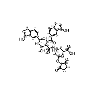 C[C@H](NC(=O)c1ccc2c(c1)B(O)OC2)[C@H](NC(=O)c1ccc2c(c1)B(O)OC2)C(=O)N[C@@H](CCC(=O)O)CC(=O)ON1C(=O)CCC1=O